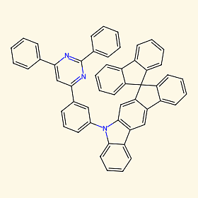 c1ccc(-c2cc(-c3cccc(-n4c5ccccc5c5cc6c(cc54)C4(c5ccccc5-c5ccccc54)c4ccccc4-6)c3)nc(-c3ccccc3)n2)cc1